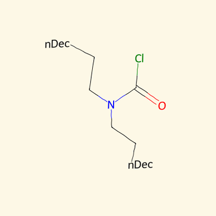 CCCCCCCCCCCCN(CCCCCCCCCCCC)C(=O)Cl